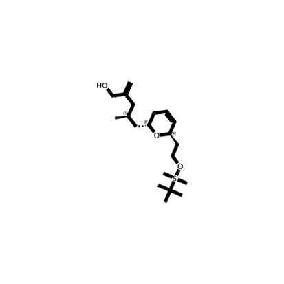 C=C(CO)C[C@H](C)C[C@@H]1CC=C[C@@H](CCO[Si](C)(C)C(C)(C)C)O1